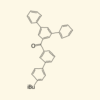 CCC(C)c1ccc(-c2cccc(C(=O)c3cc(-c4ccccc4)cc(-c4ccccc4)c3)c2)cc1